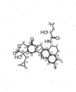 [2H]C[C@@H](O)C(=O)N[C@@H]1CCc2c(C)c(F)cc3nc4c(c1c23)Cn1c-4cc2c(c1=O)COC(=O)[C@]2(O)CC1CC1